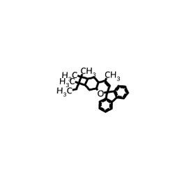 CCC1(C)C2CC3OC4(C=C(C)C3CC2C1(C)C)c1ccccc1-c1ccccc14